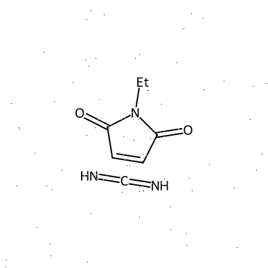 CCN1C(=O)C=CC1=O.N=C=N